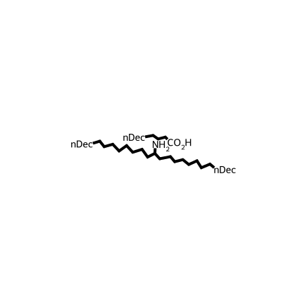 CCCCCCCCCCCCCC(=O)O.CCCCCCCCCCCCCCCCCCC(N)CCCCCCCCCCCCCCCCCC